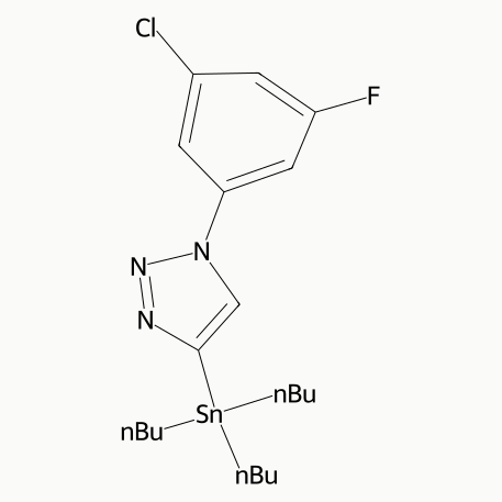 CCC[CH2][Sn]([CH2]CCC)([CH2]CCC)[c]1cn(-c2cc(F)cc(Cl)c2)nn1